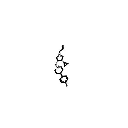 C=CCN1C[C@@H](CN2CCC(c3ccc(F)cc3)CC2)[C@H](C2CC2)C1